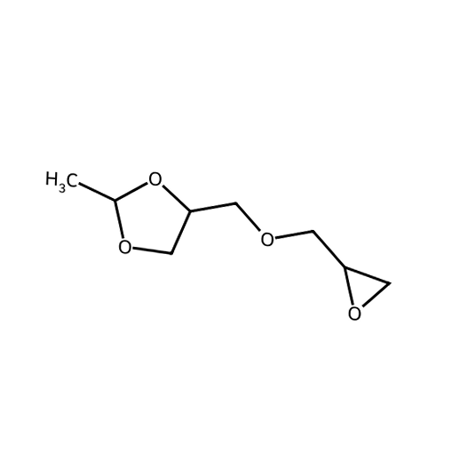 CC1OCC(COCC2CO2)O1